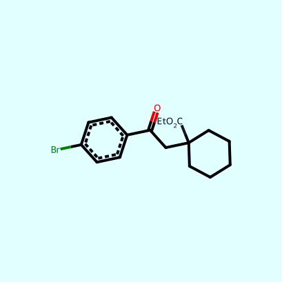 CCOC(=O)C1(CC(=O)c2ccc(Br)cc2)CCCCC1